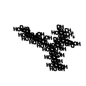 CC(C)C1OC(CO)C(O)C(OC2OC(COCC(=O)O)C(O)C(OC3OC(CO)C(O)C(OC4OC(COC5OC(CO)C(O)C(OC6OC(CO)C(O)C(OC7OC(CO)C(OCC(=O)O)C(O)C7O)C6O)C5O)C(O)C(OC5OC(CO)C(O)C(OC6OC(CO)C(O)C(O)C6O)C5O)C4O)C3O)C2O)C1O